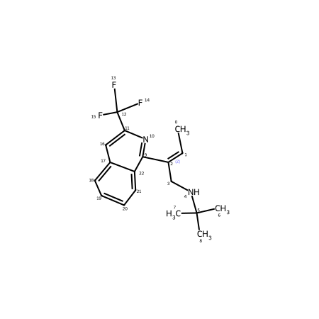 C/C=C(/CNC(C)(C)C)c1nc(C(F)(F)F)cc2ccccc12